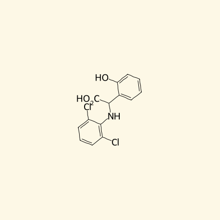 O=C(O)C(Nc1c(Cl)cccc1Cl)c1ccccc1O